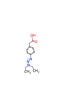 CCN(CC)/N=N/c1ccc(CC(=O)O)cc1